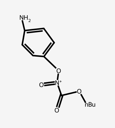 CCCCOC(=O)[N+](=O)Oc1ccc(N)cc1